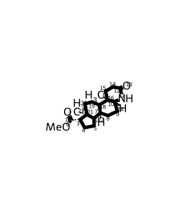 COC(=O)[C@H]1CCC2[C@@H]3CC[C@H]4NC(=O)CC[C@]4(C)C3CC[C@@]21C